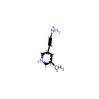 Cc1cncc(C#CN)c1